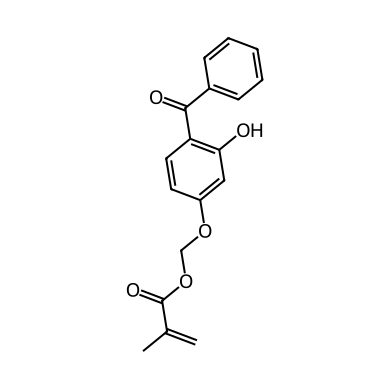 C=C(C)C(=O)OCOc1ccc(C(=O)c2ccccc2)c(O)c1